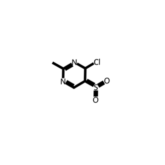 CC1=NC(Cl)C(=S(=O)=O)C=N1